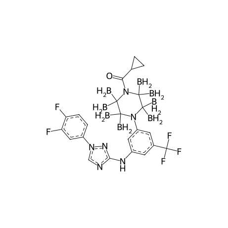 BC1(B)N(C(=O)C2CC2)C(B)(B)C(B)(B)N(c2cc(Nc3ncn(-c4ccc(F)c(F)c4)n3)cc(C(F)(F)F)c2)C1(B)B